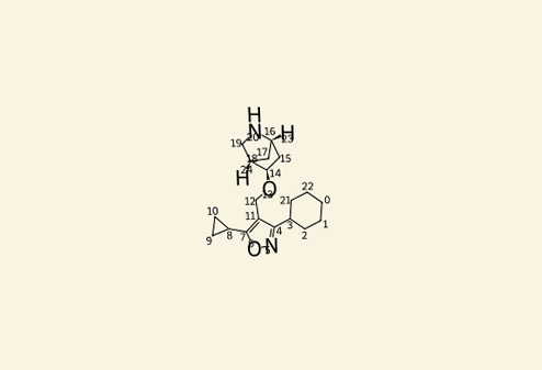 C1CCC(c2noc(C3CC3)c2CO[C@@H]2C[C@@H]3C[C@H]2CN3)CC1